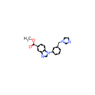 COC(=O)c1ccc2c(c1)ncn2-c1cccc(Cn2ccnc2)c1